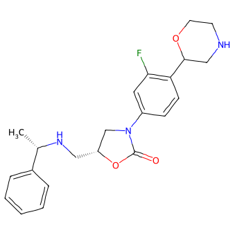 C[C@H](NC[C@@H]1CN(c2ccc(C3CNCCO3)c(F)c2)C(=O)O1)c1ccccc1